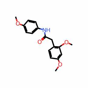 COc1ccc(NC(=O)Cc2ccc(OC)cc2OC)cc1